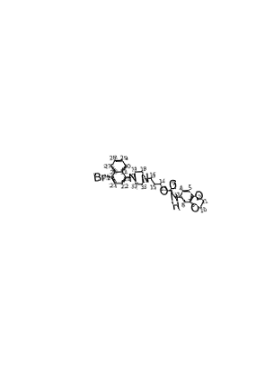 O=C(Nc1ccc2c(c1)OCCO2)OCCCN1CCN(c2ccc(Br)c3ccccc23)CC1